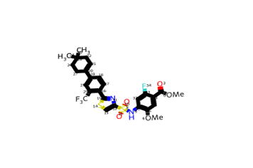 COC(=O)c1cc(OC)c(NS(=O)(=O)c2csc(-c3ccc(C4=CCC(C)(C)CC4)cc3C(F)(F)F)n2)cc1F